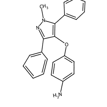 Cn1nc(-c2ccccc2)c(Oc2ccc(N)cc2)c1-c1ccccc1